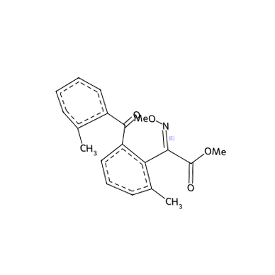 CO/N=C(/C(=O)OC)c1c(C)cccc1C(=O)c1ccccc1C